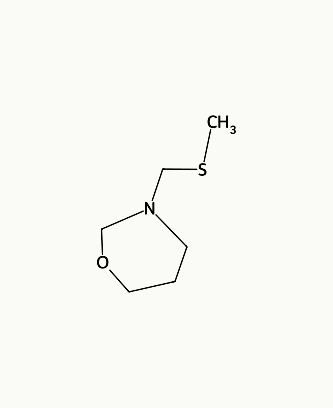 CSCN1CCCOC1